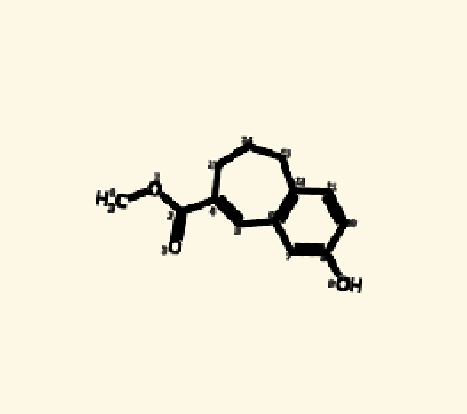 COC(=O)C1=Cc2cc(O)ccc2CCC1